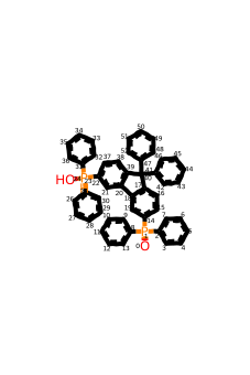 O=P(c1ccccc1)(c1ccccc1)c1ccc2c(c1)-c1cc([PH](O)(c3ccccc3)c3ccccc3)ccc1C2(c1ccccc1)c1ccccc1